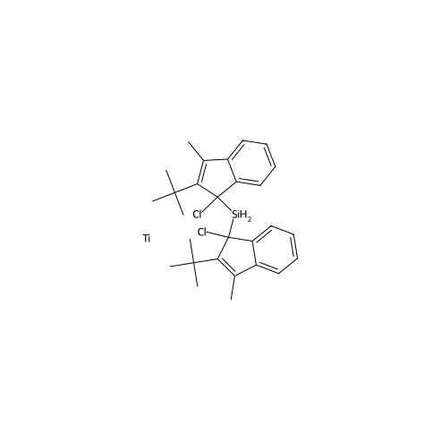 CC1=C(C(C)(C)C)C(Cl)([SiH2]C2(Cl)C(C(C)(C)C)=C(C)c3ccccc32)c2ccccc21.[Ti]